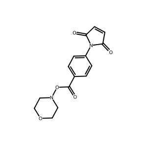 O=C(ON1CCOCC1)c1ccc(N2C(=O)C=CC2=O)cc1